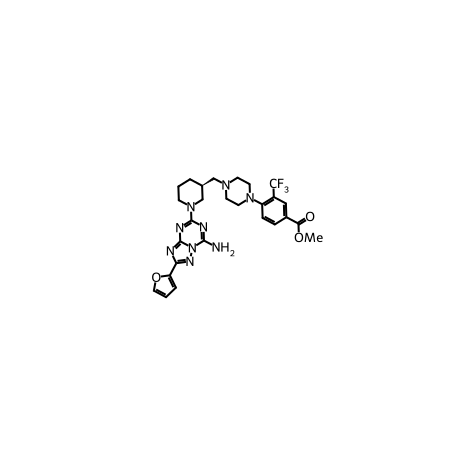 COC(=O)c1ccc(N2CCN(C[C@@H]3CCCN(c4nc(N)n5nc(-c6ccco6)nc5n4)C3)CC2)c(C(F)(F)F)c1